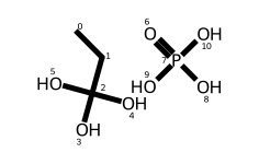 CCC(O)(O)O.O=P(O)(O)O